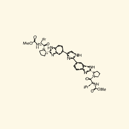 COC(=O)N[C@H](C(=O)N1CCC[C@H]1c1nc2cc(-c3c[nH]c(-c4ccc5nc([C@@H]6CCCN6C(=O)[C@@H](NC(=O)OC)C(C)C)[nH]c5c4)n3)ccc2[nH]1)C(C)C